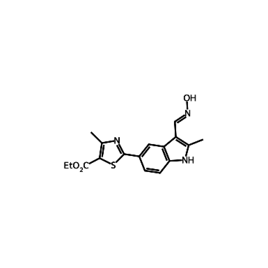 CCOC(=O)c1sc(-c2ccc3[nH]c(C)c(/C=N/O)c3c2)nc1C